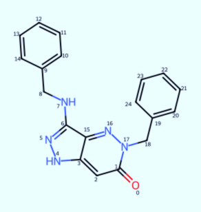 O=c1cc2[nH]nc(NCc3ccccc3)c2nn1Cc1ccccc1